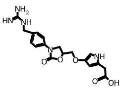 N=C(N)NCc1ccc(N2CC(COc3c[nH]c(CC(=O)O)c3)OC2=O)cc1